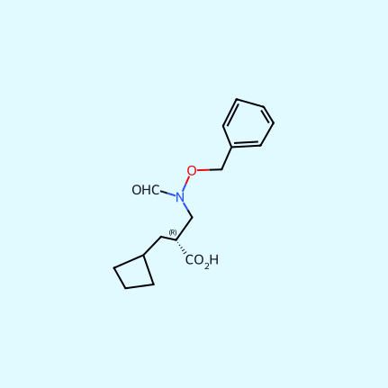 O=CN(C[C@@H](CC1CCC1)C(=O)O)OCc1ccccc1